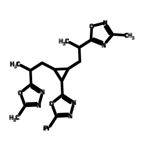 Cc1noc(C(C)CC2C(CC(C)c3nnc(C)o3)C2c2nnc(C(C)C)o2)n1